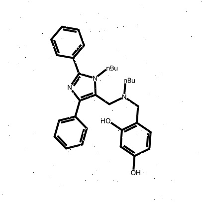 CCCCN(Cc1ccc(O)cc1O)Cc1c(-c2ccccc2)nc(-c2ccccc2)n1CCCC